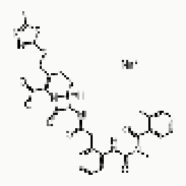 Cc1nnc(SCC2=C(C(=O)[O-])N3C(=O)C(NC(=O)Cc4ccccc4NC(=O)N(C)C(=O)c4ccccc4C)[C@H]3SC2)s1.[Na+]